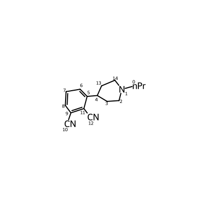 CCCN1CCC(c2cccc(C#N)c2C#N)CC1